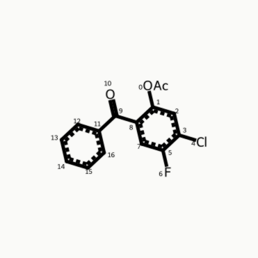 CC(=O)Oc1cc(Cl)c(F)cc1C(=O)c1ccccc1